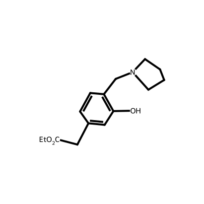 CCOC(=O)Cc1ccc(CN2CCCC2)c(O)c1